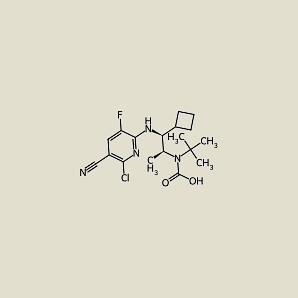 C[C@@H]([C@@H](Nc1nc(Cl)c(C#N)cc1F)C1CCC1)N(C(=O)O)C(C)(C)C